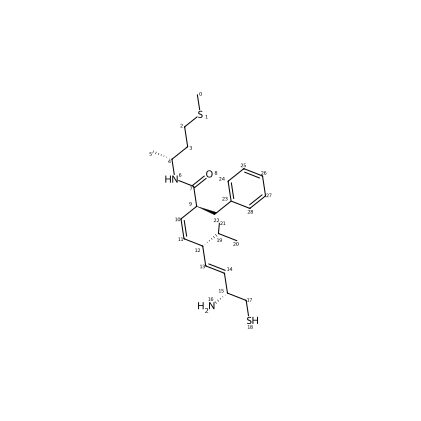 CSCC[C@@H](C)NC(=O)[C@H](/C=C\[C@@H](/C=C/[C@@H](N)CS)C(C)C)Cc1ccccc1